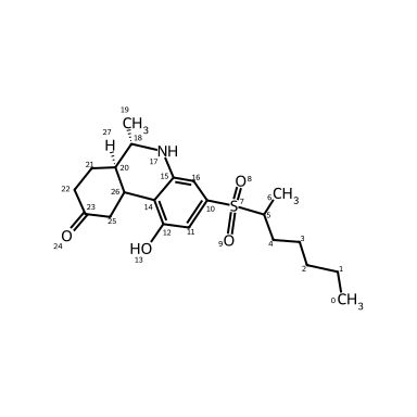 CCCCCC(C)S(=O)(=O)c1cc(O)c2c(c1)N[C@@H](C)[C@@H]1CCC(=O)CC21